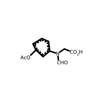 CC(=O)Oc1cccc(N(C=O)CC(=O)O)c1